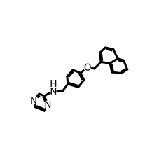 c1ccc2c(COc3ccc(CNc4cnccn4)cc3)cccc2c1